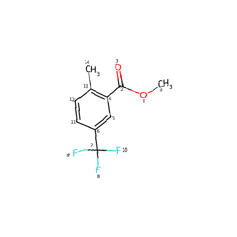 COC(=O)c1cc(C(F)(F)F)ccc1C